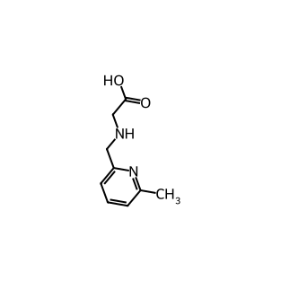 Cc1cccc(CNCC(=O)O)n1